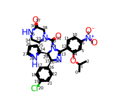 CC(C)Oc1cc([N+](=O)[O-])ccc1C1=N[C@@H](c2ccc(Cl)cc2)[C@@H](c2ccc[nH]2)N1C(=O)N1CCNC(=O)C1